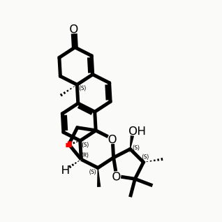 C[C@H]1[C@H](O)C2(OC1(C)C)OC13CC[C@H]([C@@H]2C)[C@@]1(C)C=CC1=C3C=CC2=CC(=O)CC[C@@]21C